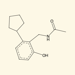 CC(=O)NCc1c(O)cccc1C1CCCC1